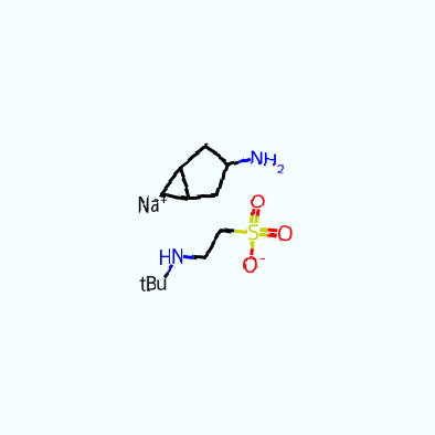 CC(C)(C)NCCS(=O)(=O)[O-].NC1CC2CC2C1.[Na+]